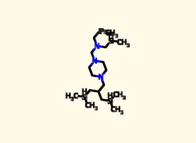 CC(C)CN(CN1CCN(CC(C[SiH](C)C)C[SiH](C)C)CC1)C[SiH](C)C